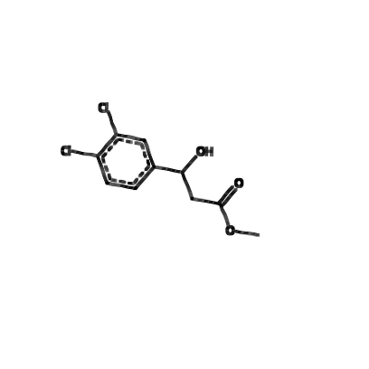 COC(=O)CC(O)c1ccc(Cl)c(Cl)c1